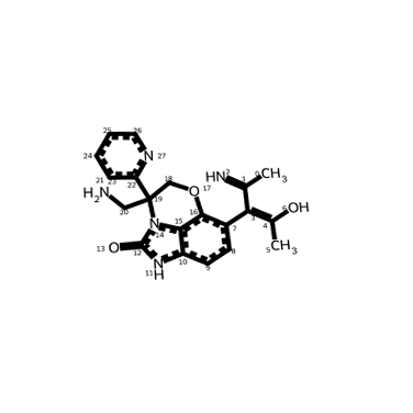 CC(=N)/C(=C(/C)O)c1ccc2[nH]c(=O)n3c2c1OCC3(CN)c1ccccn1